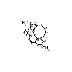 CC1=CC2C=C[N+](C)=C3c4cc(cc(C)c4C)CCCCC(=C1)C32